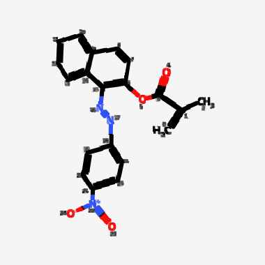 C=C(C)C(=O)Oc1ccc2ccccc2c1N=Nc1ccc([N+](=O)[O-])cc1